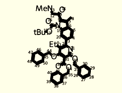 CCc1c(-c2ccc3c(C)c(C(=O)CNC)n(C(=O)OC(C)(C)C)c3c2)nc(OCc2ccccc2)c(C(=O)OCc2ccccc2)c1OCc1ccccc1